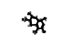 CC(=O)c1cc2c(Br)cc(Br)c(O)c2nc1C